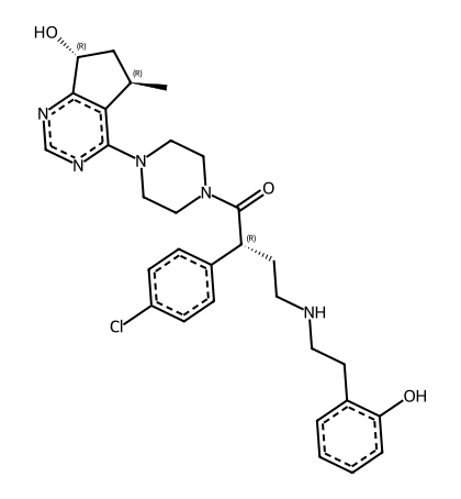 C[C@@H]1C[C@@H](O)c2ncnc(N3CCN(C(=O)[C@H](CCNCCc4ccccc4O)c4ccc(Cl)cc4)CC3)c21